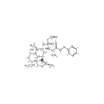 COCP(=O)(N[C@@H](C)C(=O)OCc1ccccc1)O[C@@H]1OC2O[C@@]3(C)CC[C@H]4[C@H](C)CC[C@@H]([C@H]1C)[C@@]24OO3